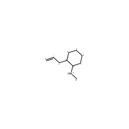 C=CCC1CCCCC1NC